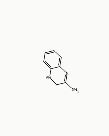 NC1=Nc2ccccc2NC1